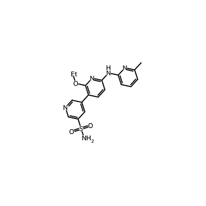 CCOc1nc(Nc2cccc(C)n2)ccc1-c1cncc(S(N)(=O)=O)c1